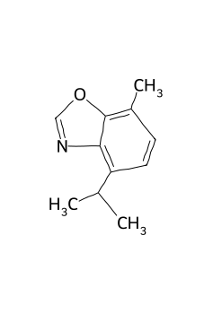 Cc1ccc(C(C)C)c2ncoc12